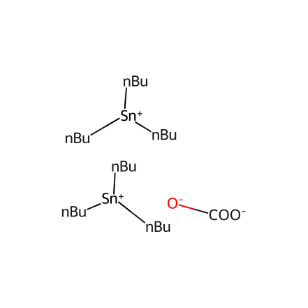 CCC[CH2][Sn+]([CH2]CCC)[CH2]CCC.CCC[CH2][Sn+]([CH2]CCC)[CH2]CCC.O=C([O-])[O-]